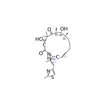 C/C(=C\c1csc(C)n1)[C@@H]1C/C=C\CCC[C@H](C)[C@@H](O)[C@H](C)C(=O)C(C)(C)[C@@H](O)CC(=O)N1